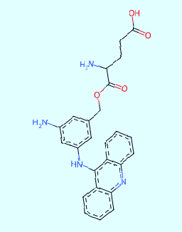 Nc1cc(COC(=O)C(N)CCC(=O)O)cc(Nc2c3ccccc3nc3ccccc23)c1